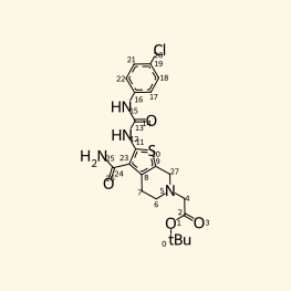 CC(C)(C)OC(=O)CN1CCc2c(sc(NC(=O)Nc3ccc(Cl)cc3)c2C(N)=O)C1